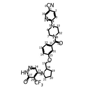 N#Cc1ccc(N2CCN(C(=O)c3cccc(OCC4CCCN4c4cn[nH]c(=O)c4C(F)(F)F)c3)CC2)nc1